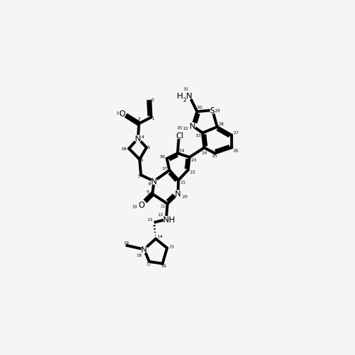 C=CC(=O)N1CC(Cn2c(=O)c(NC[C@@H]3CCCN3C)nc3cc(-c4cccc5sc(N)nc45)c(Cl)cc32)C1